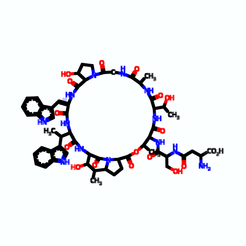 CC1NC(=O)C(C(C)O)NC(=O)C(NC(=O)C(CO)NC(=O)CC(N)C(=O)O)C(C)OC(=O)C2CCC3C(C)C(O)C(NC(=O)C(C(C)c4c[nH]c5ccccc45)NC(=O)/C(=C\c4c[nH]c5ccccc45)NC(=O)C4C(O)CCN4C(=O)CNC1=O)C(=O)N23